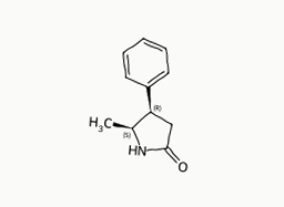 C[C@@H]1NC(=O)C[C@@H]1c1ccccc1